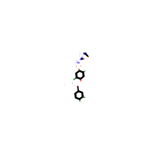 N[C@H](Oc1cc(F)c(S(=O)(=O)Nc2nccs2)cc1Cl)c1ccc(Cl)c(Cl)c1